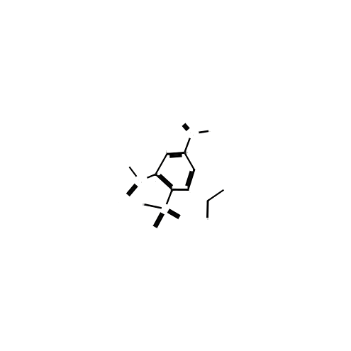 ClCCl.O=[N+]([O-])c1ccc(S(=O)(=O)Cl)c([N+](=O)[O-])c1